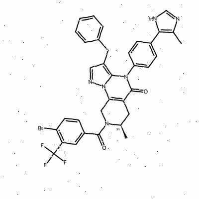 Cc1nc[nH]c1-c1ccc(-n2c(=O)c3c(n4ncc(Cc5ccccc5)c24)CN(C(=O)c2ccc(Br)c(C(F)(F)F)c2)[C@H](C)C3)cc1